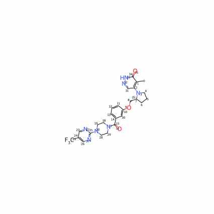 Cc1c(N2CCC[C@H]2COc2cccc(C(=O)N3CCN(c4ncc(C(F)(F)F)cn4)CC3)c2)cn[nH]c1=O